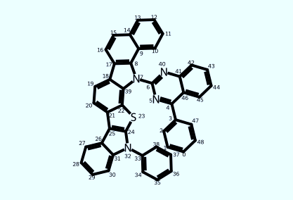 c1ccc(-c2nc(-n3c4c5ccccc5ccc4c4ccc5c(sc6c5c5ccccc5n6-c5ccccc5)c43)nc3ccccc23)cc1